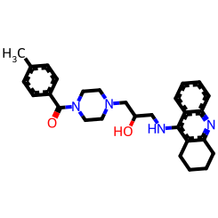 Cc1ccc(C(=O)N2CCN(CC(O)CNc3c4c(nc5ccccc35)CCCC4)CC2)cc1